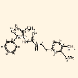 CNc1nc(CCNC(=O)Nc2c(C)noc2-c2ccccc2)ccc1C